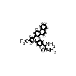 NC(=O)C(N)c1ccc(-n2cc(C(F)(F)F)cc2-c2ccc3c(ccc4ccccc43)c2)cc1